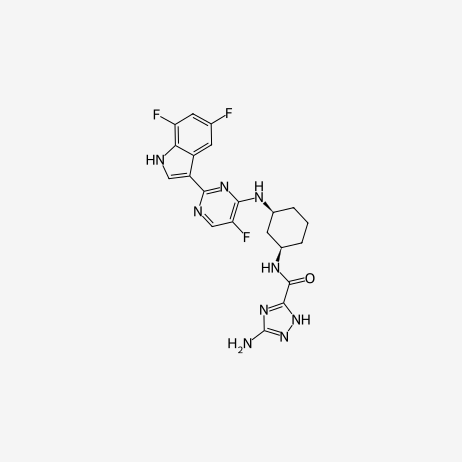 Nc1n[nH]c(C(=O)N[C@@H]2CCC[C@H](Nc3nc(-c4c[nH]c5c(F)cc(F)cc45)ncc3F)C2)n1